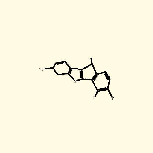 CC1C=Cc2c(sc3c2C(I)c2ccc(F)c(F)c2-3)C1